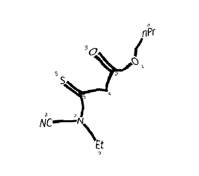 CCCOC(=O)CC(=S)N(C#N)CC